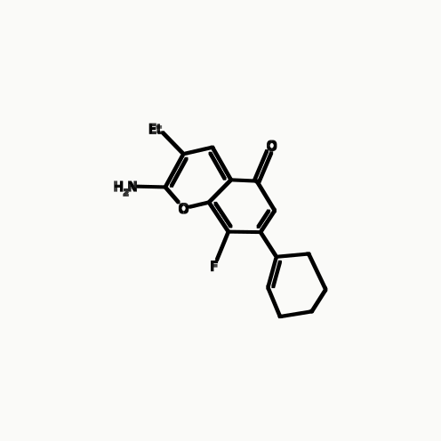 CCc1cc2c(=O)cc(C3=CCCCC3)c(F)c-2oc1N